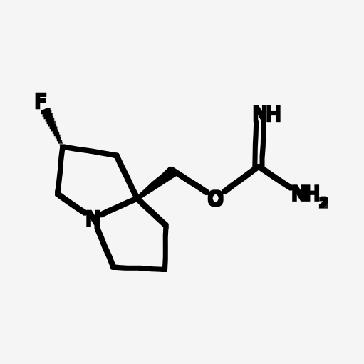 N=C(N)OC[C@@]12CCCN1C[C@H](F)C2